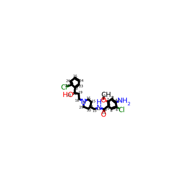 COc1cc(N)c(Cl)cc1C(=O)NCC1CCN(CCC(O)c2ccccc2Cl)CC1